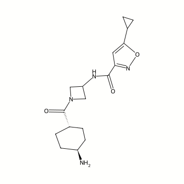 N[C@H]1CC[C@H](C(=O)N2CC(NC(=O)c3cc(C4CC4)on3)C2)CC1